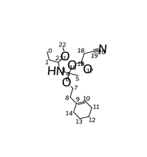 CCC(NC(C)(OCCC1=CCCCC1)OC(=O)CC#N)OC